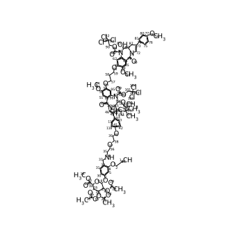 C#CCOc1cc(O[C@@H]2O[C@H](C(=O)OC)[C@@H](OC(C)=O)[C@H](OC(C)=O)[C@H]2OC(C)=O)ccc1CNCCOCCOc1ccc(C2=CN3C(=O)c4cc(OC)c(OCCCOc5cc6c(cc5OC)C(=O)N5C=C(c7ccc(OC)cc7)CC5[C@@H](O)N6C(=O)OCC(Cl)(Cl)Cl)cc4N(C(=O)OCC(Cl)(Cl)Cl)[C@H](O[Si](C)(C)C(C)(C)C)C3C2)cc1